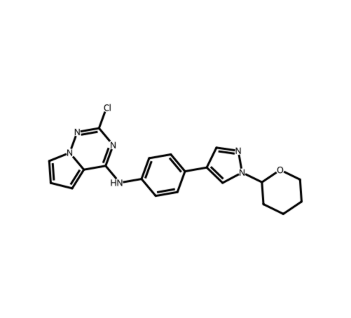 Clc1nc(Nc2ccc(-c3cnn(C4CCCCO4)c3)cc2)c2cccn2n1